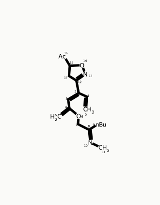 C=C/C(=C\C(=C)OC/C(CCCC)=N/C)C1=NOC(C(C)=O)C1